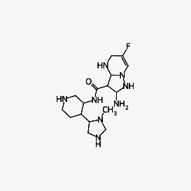 CN1CNCC1C1CCNCC1NC(=O)C1C(N)NN2C=C(F)CNC12